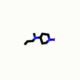 CCCN(C)C1CCN(I)CC1